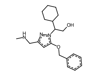 CNCc1cc(OCc2ccccc2)n(C(CO)C2CCCCC2)n1